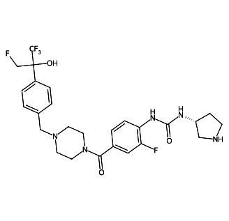 O=C(Nc1ccc(C(=O)N2CCN(Cc3ccc(C(O)(CF)C(F)(F)F)cc3)CC2)cc1F)N[C@@H]1CCNC1